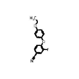 CCOc1ccc(Oc2ccc(C#N)cc2F)cc1